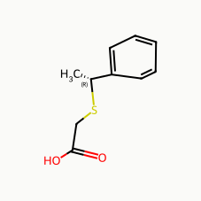 C[C@@H](SCC(=O)O)c1ccccc1